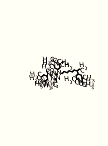 CCc1nc(N(C)C2CC(C)(C)N(OC)C(C)(C)C2)nc(N(CCCCCCC(CC)C2CC(C)(C)N(OC)C(C)(C)C2)C2CC(C)(C)N(OC)C(C)(C)C2)n1